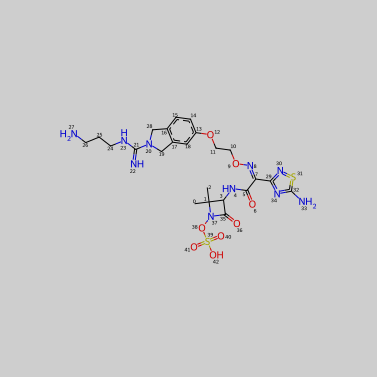 CC1(C)C(NC(=O)/C(=N\OCCOc2ccc3c(c2)CN(C(=N)NCCCN)C3)c2nsc(N)n2)C(=O)N1OS(=O)(=O)O